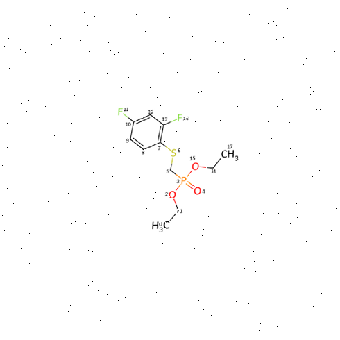 CCOP(=O)(CSc1ccc(F)cc1F)OCC